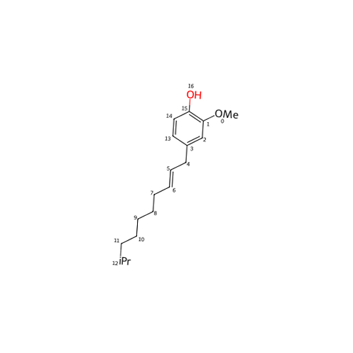 COc1cc(CC=CCCCCCC(C)C)ccc1O